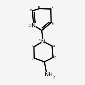 NC1CCN(C2=CCCC=N2)CC1